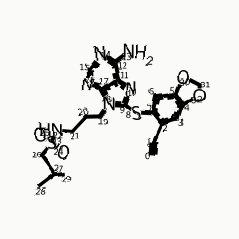 C#Cc1cc2c(cc1Sc1nc3c(N)ncnc3n1CCCNS(=O)(=O)CC(C)C)OCO2